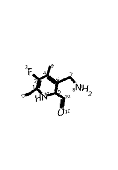 CC1=C(F)C(C)=C(CN)C(C=O)N1